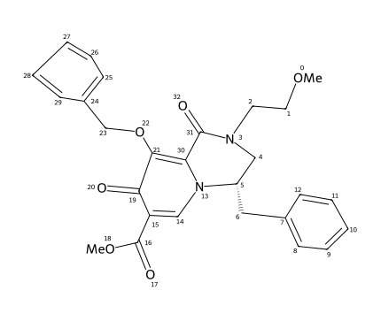 COCCN1C[C@H](Cc2ccccc2)n2cc(C(=O)OC)c(=O)c(OCc3ccccc3)c2C1=O